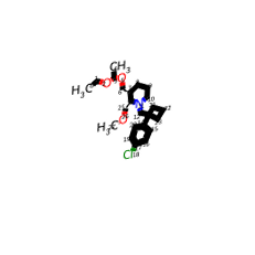 CCOC(C)OC[C@@H]1CCCN(CC2(c3ccc(Cl)cc3)CCC2)[C@@H]1COC